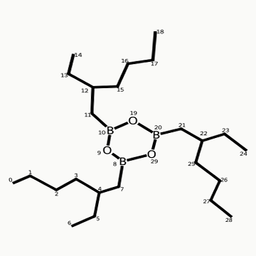 CCCCC(CC)CB1OB(CC(CC)CCCC)OB(CC(CC)CCCC)O1